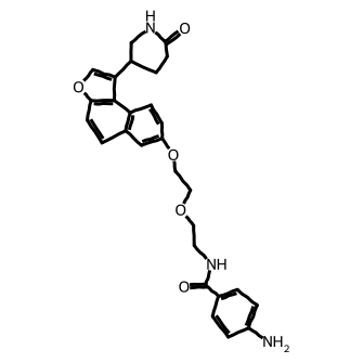 Nc1ccc(C(=O)NCCOCCOc2ccc3c(ccc4occ(C5CCC(=O)NC5)c43)c2)cc1